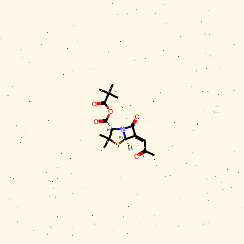 CC(=O)C=C1C(=O)N2[C@@H]1SC(C)(C)[C@@H]2C(=O)OC(=O)C(C)(C)C